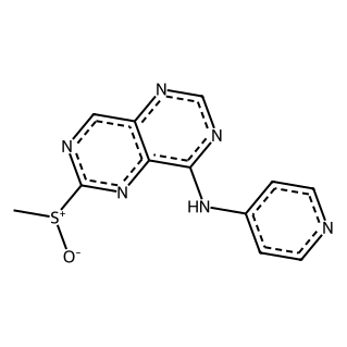 C[S+]([O-])c1ncc2ncnc(Nc3ccncc3)c2n1